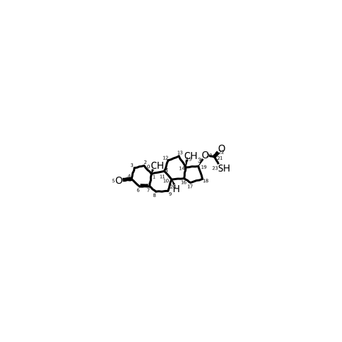 C[C@]12CCC(=O)C=C1CC[C@@H]1C2CC[C@@]2(C)C1CC[C@@H]2OC(=O)S